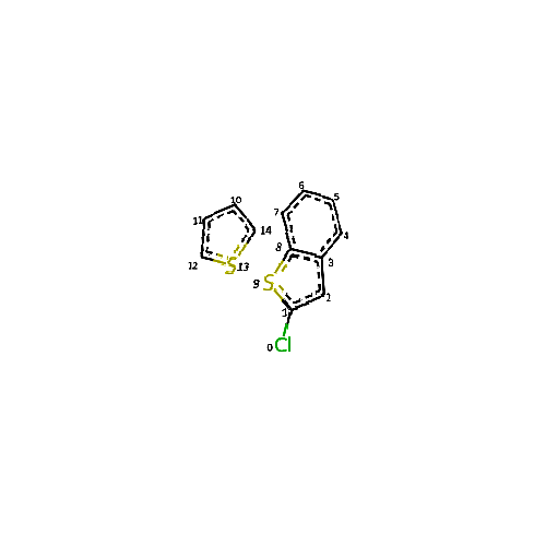 Clc1cc2ccccc2s1.c1ccsc1